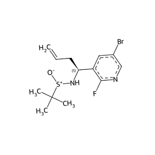 C=CC[C@H](N[S+]([O-])C(C)(C)C)c1cc(Br)cnc1F